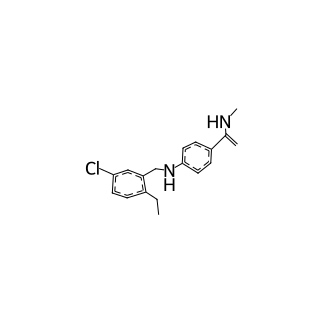 C=C(NC)c1ccc(NCc2cc(Cl)ccc2CC)cc1